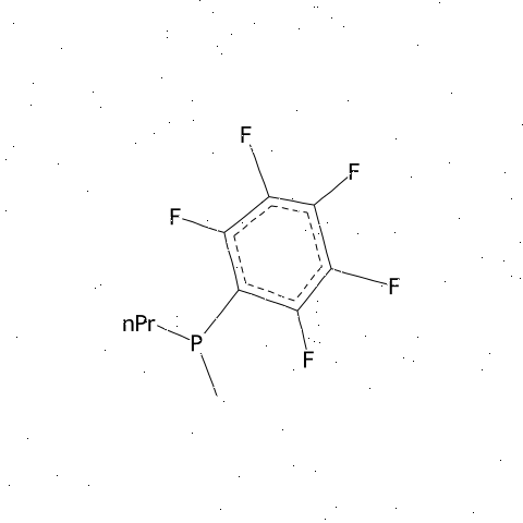 CCCP(C)c1c(F)c(F)c(F)c(F)c1F